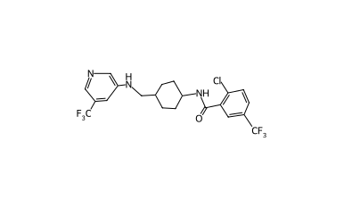 O=C(NC1CCC(CNc2cncc(C(F)(F)F)c2)CC1)c1cc(C(F)(F)F)ccc1Cl